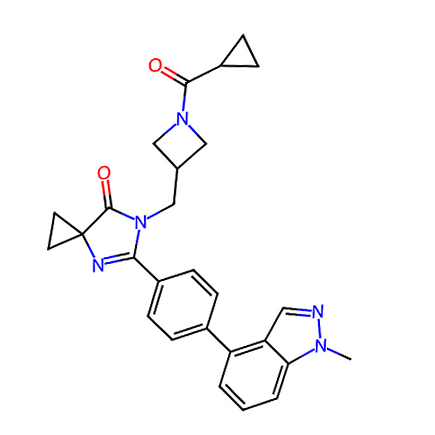 Cn1ncc2c(-c3ccc(C4=NC5(CC5)C(=O)N4CC4CN(C(=O)C5CC5)C4)cc3)cccc21